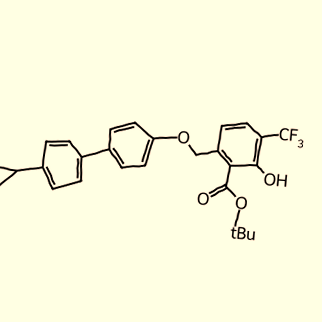 CC(C)(C)OC(=O)c1c(COc2ccc(-c3ccc(C4CC4)cc3)cc2)ccc(C(F)(F)F)c1O